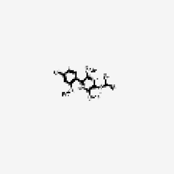 CCOc1cc(Cl)ccc1-c1nc(OC)c(NC(CC)CC)nc1OC